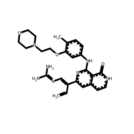 C=C/C(=C\N=C(N)N)c1cc2cc[nH]c(=O)c2c(Nc2ccc(C)c(OCCN3CCOCC3)c2)n1